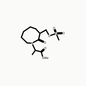 COC(=O)C(C)N1CCCCCC(COS(C)(=O)=O)C1=O